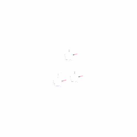 CC(C)(C)C1CCN(C(=O)[O-])C1=O.CC(C)(C)C1CCN(C(=O)[O-])C1=O.CC(C)(C)C1CCN(C(=O)[O-])C1=O.[Cr+3]